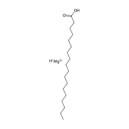 CCCCCCCCCCCCCCCCCC(=O)O.[H+].[Mg+2]